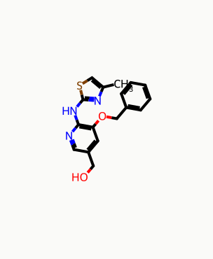 Cc1csc(Nc2ncc(CO)cc2OCc2ccccc2)n1